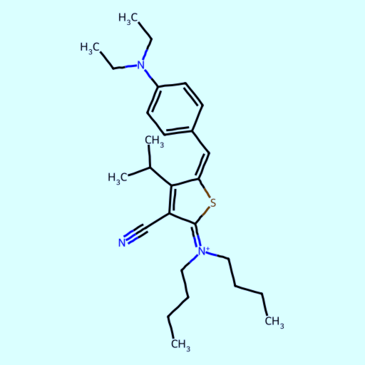 CCCC[N+](CCCC)=C1S/C(=C/c2ccc(N(CC)CC)cc2)C(C(C)C)=C1C#N